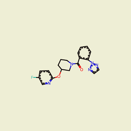 O=C(c1ccccc1-n1nccn1)N1CCCC(Oc2ccc(F)cn2)C1